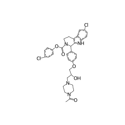 CC(=O)N1CCN(CC(O)COc2ccc(C3c4[nH]c5ccc(Cl)cc5c4CCN3C(=O)Oc3ccc(Cl)cc3)cc2)CC1